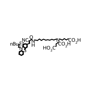 CCCCC(CC)CN1c2ccccc2Sc2cc(/C=C(\C#N)C(=O)NCCCCCCCCCCCN(CCCCCC(=O)O)C(CCC(=O)O)C(=O)O)ccc21